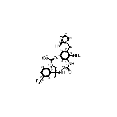 CC(C)(C)C(=O)OCC(C)(NSC(=O)Nc1cccc(Cn2ccoc2=N)c1N)c1cccc(C(F)(F)F)c1